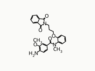 COc1cc(C(=O)N(C)c2ccccc2OCCCN2C(=O)c3ccccc3C2=O)ccc1N